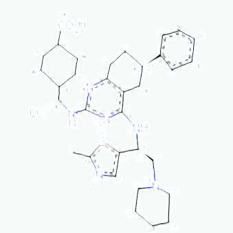 CC[C@@H](Nc1nc2c(c(N[C@@H](CN3CCCCC3)c3cnc(C)s3)n1)C[C@H](c1ccccc1)CC2)C1CCC(C(=O)O)CC1